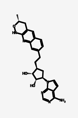 C[C@@H]1Cc2cc3ccc(CC[C@H]4C[C@@H](n5ccc6c(N)ncnc65)[C@H](O)[C@@H]4O)cc3nc2NO1